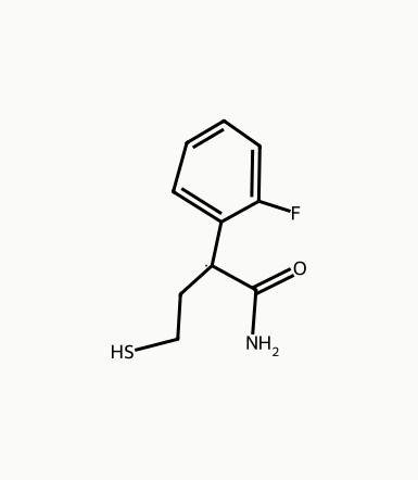 NC(=O)[C](CCS)c1ccccc1F